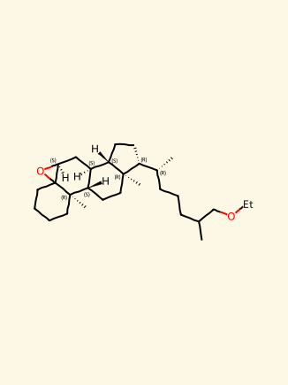 CCOCC(C)CCC[C@@H](C)[C@H]1CC[C@H]2[C@@H]3C[C@@H]4OC45CCCC[C@]5(C)[C@H]3CC[C@]12C